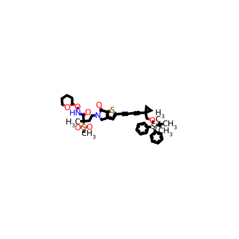 CC(C)(C)[Si](OCC1(C#CC#Cc2cc3c(s2)C(=O)N(CCC(C)(C(=O)NOC2CCCCO2)S(C)(=O)=O)C3)CC1)(c1ccccc1)c1ccccc1